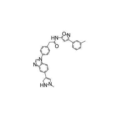 Cc1cccc(-c2cc(NC(=O)Cc3ccc(-n4cnc5cc(C6=CN(C)NC6)ccc54)cc3)on2)c1